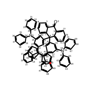 O=C1c2ccccc2C(c2cc(N(c3ccccc3)c3ccccc3)cc(N(c3ccccc3)c3ccccc3)c2)(c2cc(N(c3ccccc3)c3ccccc3)cc(N(c3ccccc3)c3ccccc3)c2)c2ccccc21